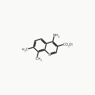 CCOC(=O)c1cnc2c(C)c(C)ccc2c1N